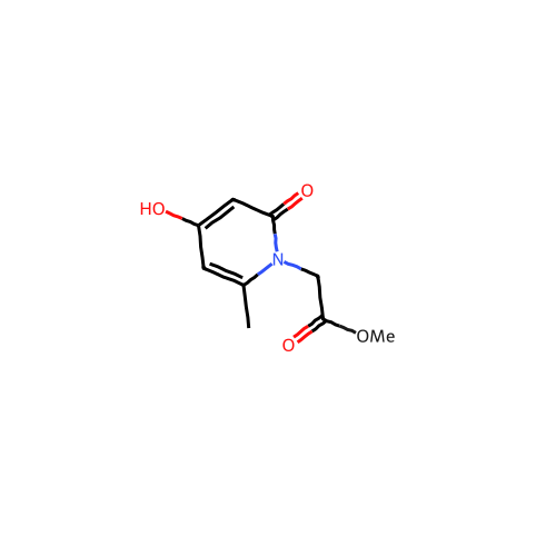 COC(=O)Cn1c(C)cc(O)cc1=O